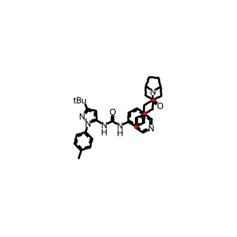 Cc1ccc(-n2nc(C(C)(C)C)cc2NC(=O)Nc2ccc(CC3CC4CCC(C3)N4C(=O)Cc3cccnc3)cc2)cc1